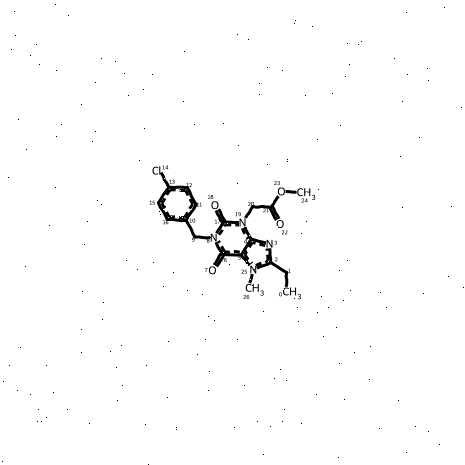 CCc1nc2c(c(=O)n(Cc3ccc(Cl)cc3)c(=O)n2CC(=O)OC)n1C